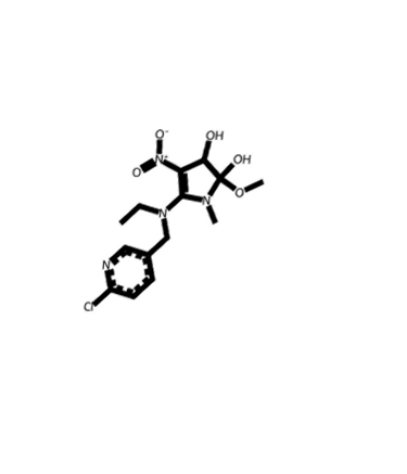 CCN(Cc1ccc(Cl)nc1)C1=C([N+](=O)[O-])C(O)C(O)(OC)N1C